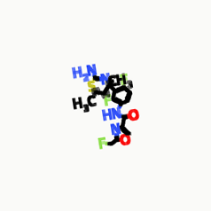 C[C@H]1SC(N)=N[C@](C)(c2cc(NC(=O)c3coc(CF)n3)ccc2F)[C@H]1F